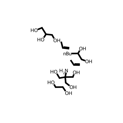 C=CC.C=CC.CCCCC(O)CO.NC(CO)(CO)CO.OCC(O)CO.OCCO